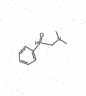 CN(C)C[PH](=O)c1ccccc1